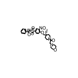 O=C(NS(=O)(=O)c1ccc(OCC2(F)CCN(C(=O)CN3CCOCC3)CC2)c([N+](=O)[O-])c1)c1ccccc1